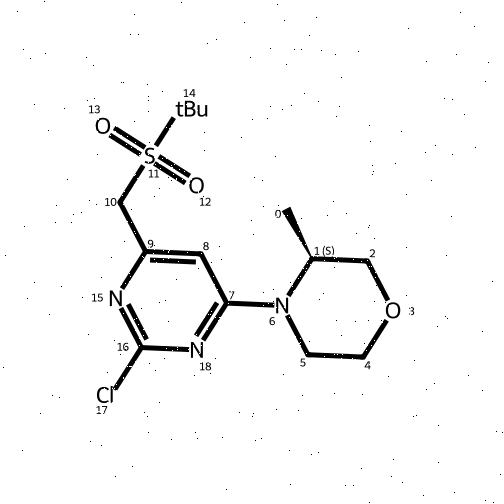 C[C@H]1COCCN1c1cc(CS(=O)(=O)C(C)(C)C)nc(Cl)n1